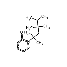 CC(C)C(C)(C)CC(C)(C)n1ccccc1=O